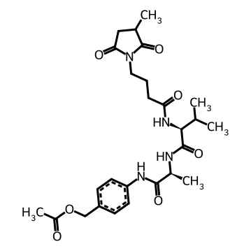 CC(=O)OCc1ccc(NC(=O)[C@H](C)NC(=O)[C@@H](NC(=O)CCCN2C(=O)CC(C)C2=O)C(C)C)cc1